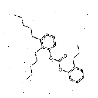 CCCCCc1cccc(OC(=O)Oc2ccccc2CCC)c1CCCCC